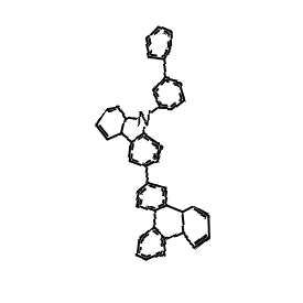 C1=CC2c3ccccc3-c3ccc(-c4ccc5c(c4)C4C=CC=CC4N5c4cccc(-c5ccccc5)c4)cc3C2C=C1